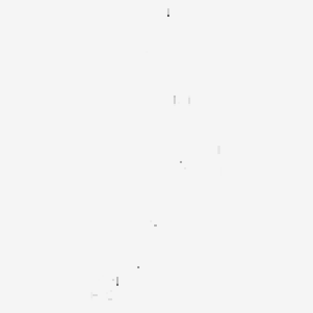 CN(C)C(=O)N1CCC(NCc2ccc3c(c2)cc(C#CCNc2ccc(C(C)(C)C#N)nc2)n3CC(F)(F)F)CC1